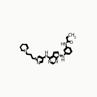 C=CC(=O)Nc1cccc(Nn2ccc3c(Nc4cnn(CCCN5CCCCC5)c4)ncnc32)c1